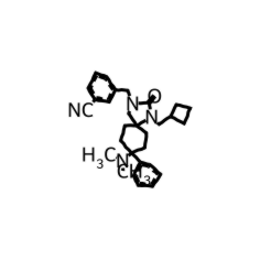 CN(C)C1(c2ccccc2)CCC2(CC1)CN(Cc1cccc(C#N)c1)C(=O)N2CC1CCC1